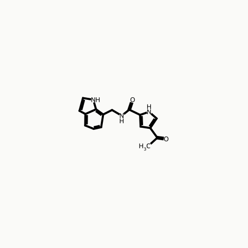 CC(=O)c1c[nH]c(C(=O)NCc2cccc3cc[nH]c23)c1